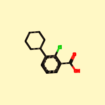 O=C(O)c1cccc(C2CCCCC2)c1Cl